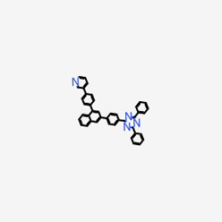 c1ccc(-c2nc(-c3ccccc3)nc(-c3ccc(-c4cc(-c5ccc(-c6cccnc6)cc5)c5ccccc5c4)cc3)n2)cc1